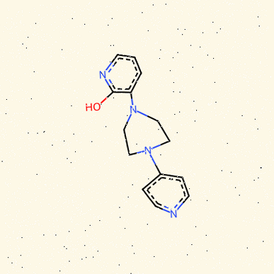 Oc1ncccc1N1CCN(c2ccncc2)CC1